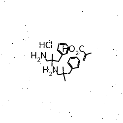 C=C(C)C(=O)O.CC(C)(CN)Cc1ccccc1.CC(C)(CN)Cc1ccccc1.Cl